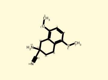 COc1ccc(SC)c2c1CC(N)(C#N)CC2